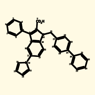 O=C(O)c1c(-c2ccccc2)c2cc(-n3cccc3)ccc2n1Cc1ccc(-c2ccccc2)cc1